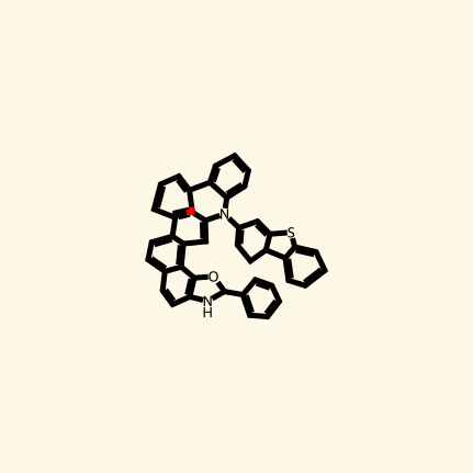 C1=C2Sc3ccccc3C2CC=C1N(c1ccc2ccc3ccc4c(c3c2c1)OC(c1ccccc1)N4)c1ccccc1-c1ccccc1